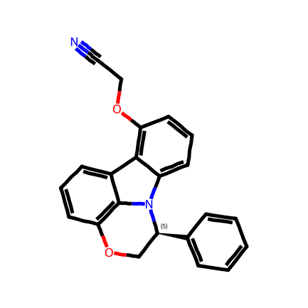 N#CCOc1cccc2c1c1cccc3c1n2[C@@H](c1ccccc1)CO3